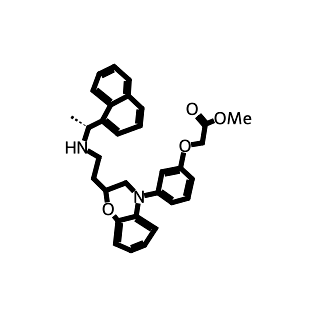 COC(=O)COc1cccc(N2CC(CCN[C@H](C)c3cccc4ccccc34)Oc3ccccc32)c1